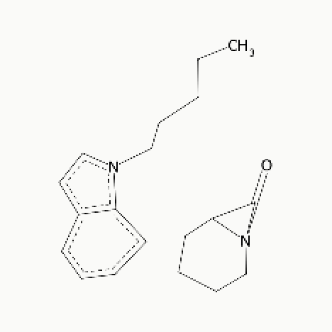 CCCCCn1ccc2ccccc21.O=C1C2CCCCN12